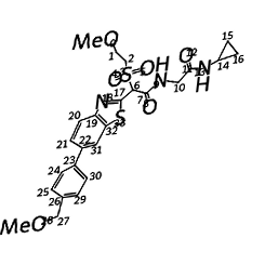 COCCS(=O)(=O)C(C(=O)NCC(=O)NC1CC1)c1nc2ccc(-c3ccc(COC)cc3)cc2s1